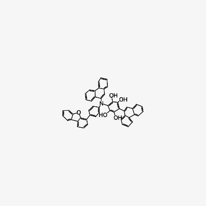 Oc1c(O)c(N(c2ccc(-c3cccc4c3oc3ccccc34)cc2)c2cc3ccccc3c3ccccc23)c(O)c(O)c1-c1cc2ccccc2c2ccccc12